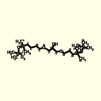 C[Si](C)(C)O[Si](C)(C)CCCCOCC(O)COCCC[Si](C)(C)O[Si](C)(C)C